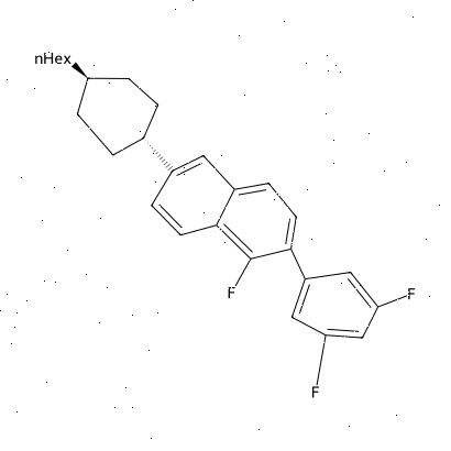 CCCCCC[C@H]1CC[C@H](c2ccc3c(F)c(-c4cc(F)cc(F)c4)ccc3c2)CC1